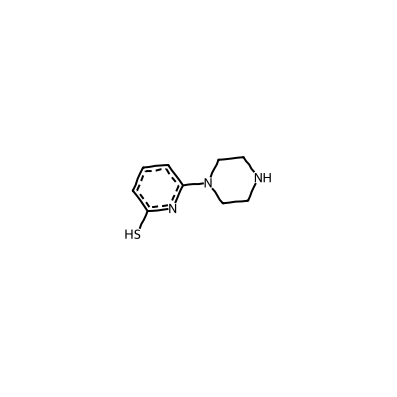 Sc1cccc(N2CCNCC2)n1